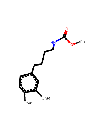 COc1ccc(CCCCNC(=O)OC(C)(C)C)cc1OC